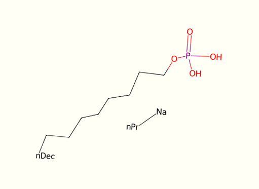 CCCCCCCCCCCCCCCCCCOP(=O)(O)O.CC[CH2][Na]